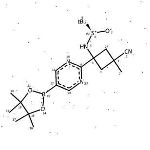 CC1(C#N)CC(N[S@+]([O-])C(C)(C)C)(c2ncc(B3OC(C)(C)C(C)(C)O3)cn2)C1